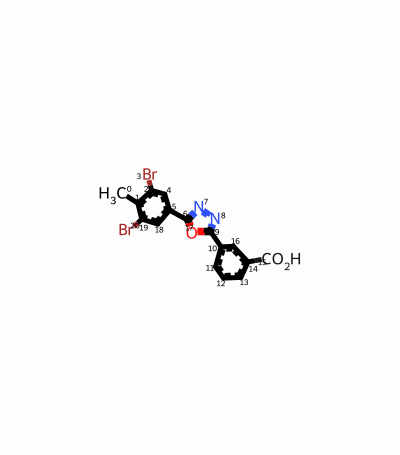 Cc1c(Br)cc(-c2nnc(-c3cccc(C(=O)O)c3)o2)cc1Br